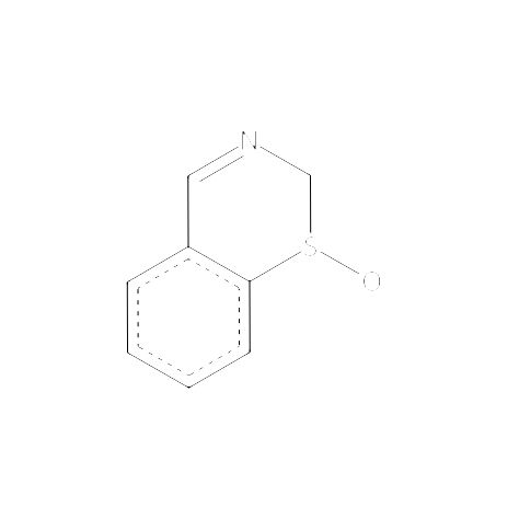 [O-][S+]1CN=Cc2ccccc21